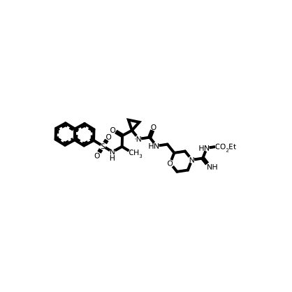 CCOC(=O)NC(=N)N1CCOC(CNC(=O)[N]C2(C(=O)C(C)NS(=O)(=O)c3ccc4ccccc4c3)CC2)C1